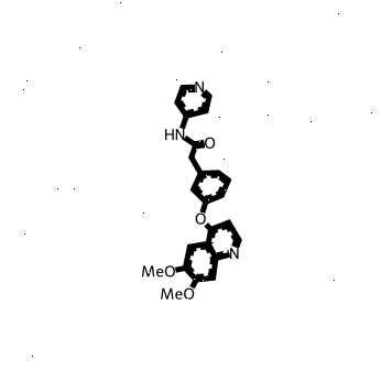 COc1cc2nccc(Oc3cccc(CC(=O)Nc4ccncc4)c3)c2cc1OC